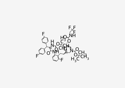 CC(C)(C)OC(=O)N[C@H](C(=O)Nc1cccc(F)c1CC[C@@H]1CN(C(=O)OC(C)(C)C)C[C@@H](COC(=O)NCC(F)(F)F)O1)C(c1ccc(F)cc1)c1ccc(F)cc1